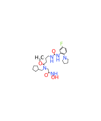 C[C@H](CNC(=O)Nc1cc(F)ccc1N1CCCC1)CC(=O)N(CC(=O)NO)CC1CCCC1